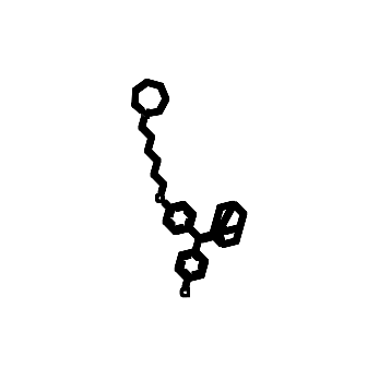 Clc1ccc(C(=C2C3CC4CC(C3)CC2C4)c2ccc(OCCCCCCN3CCCCCC3)cc2)cc1